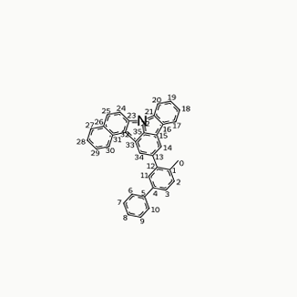 Cc1ccc(-c2ccccc2)cc1-c1cc2c3ccccc3n3c4ccc5ccccc5c4c(c1)c23